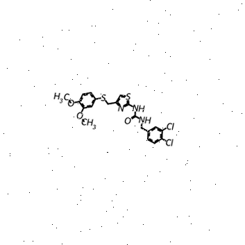 COc1ccc(SCc2csc(NC(=O)NCc3ccc(Cl)c(Cl)c3)n2)cc1OC